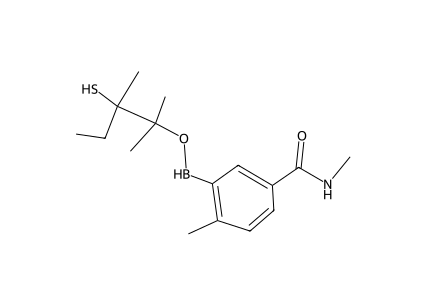 CCC(C)(S)C(C)(C)OBc1cc(C(=O)NC)ccc1C